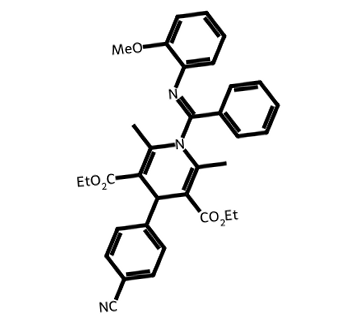 CCOC(=O)C1=C(C)N(C(=Nc2ccccc2OC)c2ccccc2)C(C)=C(C(=O)OCC)C1c1ccc(C#N)cc1